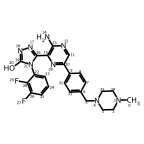 CN1CCN(Cc2ccc(-c3cnc(N)c(-c4nnc(O)n4-c4cccc(F)c4F)n3)cc2)CC1